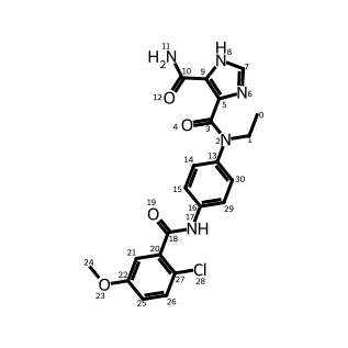 CCN(C(=O)c1nc[nH]c1C(N)=O)c1ccc(NC(=O)c2cc(OC)ccc2Cl)cc1